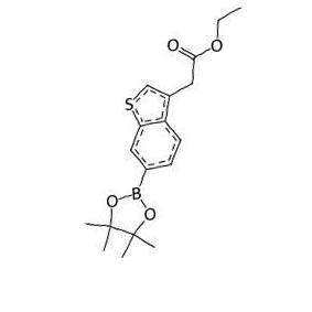 CCOC(=O)Cc1csc2cc(B3OC(C)(C)C(C)(C)O3)ccc12